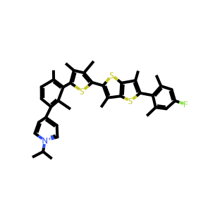 Cc1cc(F)cc(C)c1-c1sc2c(C)c(-c3sc(-c4c(C)ccc(-c5cc[n+](C(C)C)cc5)c4C)c(C)c3C)sc2c1C